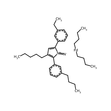 CCCCCC1=C(c2cccc(CCCC)c2)[N+](=[N-])C(c2cccc(CC)c2)=C1.CCC[CH2][Pd][CH2]CCC